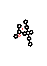 c1ccc(-c2ccc(-c3c4ccccc4c(-c4ccc(-c5ccccc5)cc4)c4cc(-c5c6oc7ccccc7c6cc6c5oc5ccccc56)ccc34)cc2)cc1